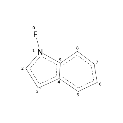 Fn1c[c]c2ccccc21